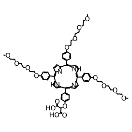 COCCOCCOCCOc1ccc(-c2c3nc(c(-c4ccc(OCCOCCOCCOC)cc4)c4ccc([nH]4)c(-c4ccc(OC(C(=O)O)C(=O)O)cc4)c4nc(c(-c5ccc(OCCOCCOCCOC)cc5)c5ccc2[nH]5)C=C4)C=C3)cc1